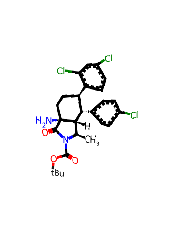 C[C@@H]1[C@H]2[C@@H](c3ccc(Cl)cc3)[C@H](c3ccc(Cl)cc3Cl)CC[C@@]2(N)C(=O)N1C(=O)OC(C)(C)C